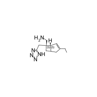 CCC1=C[C@@H]2C(C1)C[C@]2(CN)Cc1nnn[nH]1